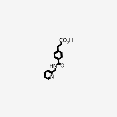 O=C(O)CCc1ccc(C(=O)NCc2ccccn2)cc1